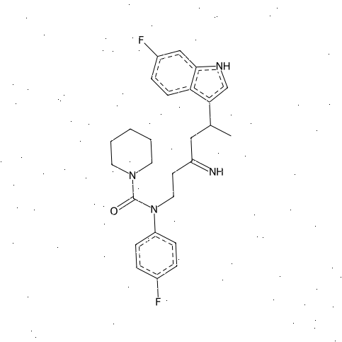 CC(CC(=N)CCN(C(=O)N1CCCCC1)c1ccc(F)cc1)c1c[nH]c2cc(F)ccc12